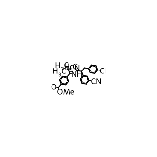 COC(=O)c1ccc([C@H](NC(C)C(Cc2ccc(Cl)cc2)c2cccc(C#N)c2)C(C)(C)C#N)cc1